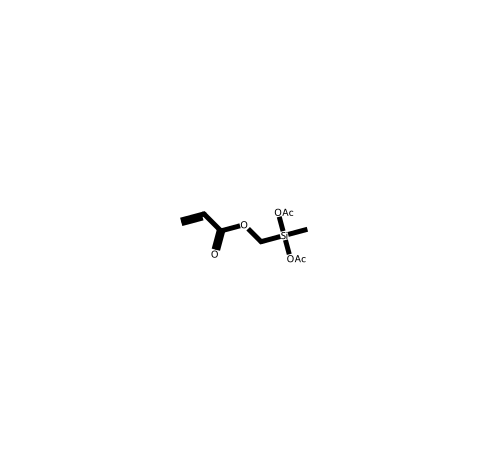 C=CC(=O)OC[Si](C)(OC(C)=O)OC(C)=O